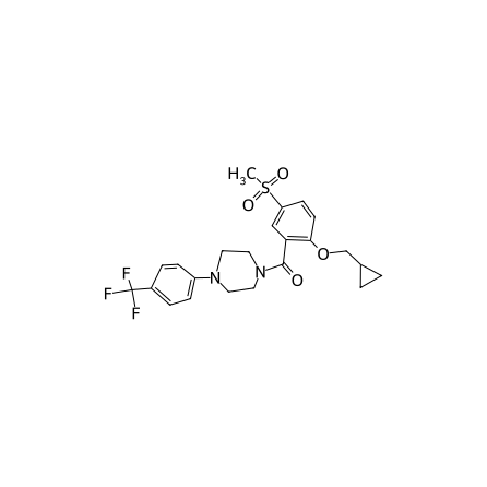 CS(=O)(=O)c1ccc(OCC2CC2)c(C(=O)N2CCN(c3ccc(C(F)(F)F)cc3)CC2)c1